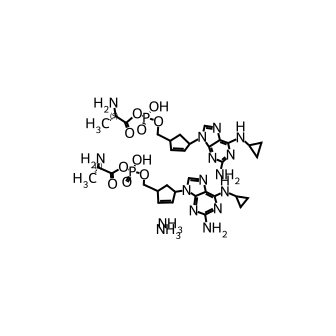 C[C@H](N)C(=O)OP(=O)(O)OCC1C=CC(n2cnc3c(NC4CC4)nc(N)nc32)C1.C[C@H](N)C(=O)OP(=O)(O)OCC1C=CC(n2cnc3c(NC4CC4)nc(N)nc32)C1.N.N